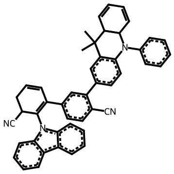 CC1(C)c2cc(-c3cc(C4=C(n5c6ccccc6c6ccccc65)C(C#N)CC=C4)ccc3C#N)ccc2N(c2ccccc2)C2C=CC=CC21